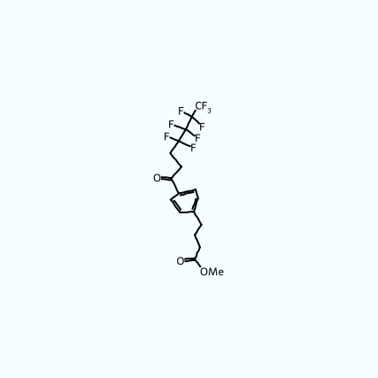 COC(=O)CCCc1ccc(C(=O)CCC(F)(F)C(F)(F)C(F)(F)C(F)(F)F)cc1